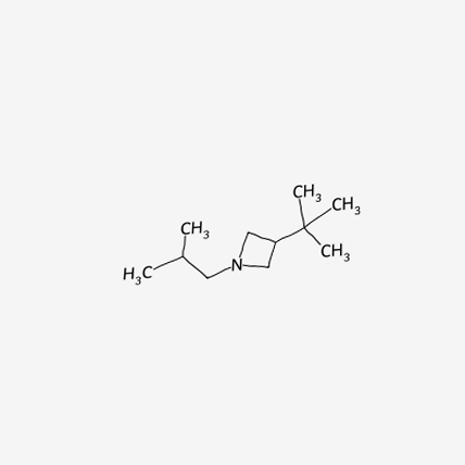 CC(C)CN1CC(C(C)(C)C)C1